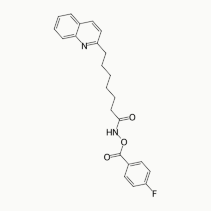 O=C(CCCCCCc1ccc2ccccc2n1)NOC(=O)c1ccc(F)cc1